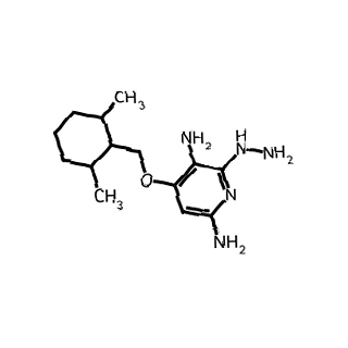 CC1CCCC(C)C1COc1cc(N)nc(NN)c1N